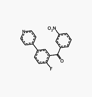 O=C(c1cccc([N+](=O)[O-])c1)c1cc(-c2ccncc2)ccc1F